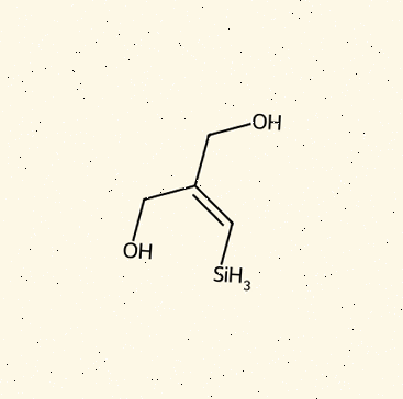 OCC(=C[SiH3])CO